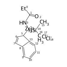 CCC(=O)[NH][Zr+2]([CH]1C=Cc2ccccc21)[SiH](C)C.[Cl-].[Cl-]